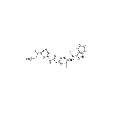 Cc1cc(CC(=O)Nc2cccc(C(C)CC(=O)O)c2)ccc1NC(=O)C1CNc2ccccc21